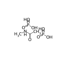 CNC(C)=O.O=[PH](O)O.O=[PH](O)O